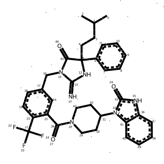 CC(C)CCC1(c2ccccc2)NC(=N)N(Cc2ccc(C(F)(F)F)c(C(=O)N3CCC(n4c(=O)[nH]c5ccccc54)CC3)c2)C1=O